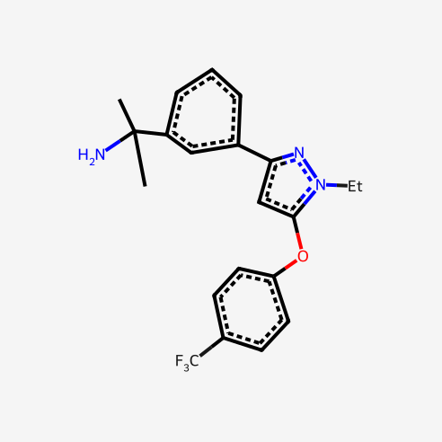 CCn1nc(-c2cccc(C(C)(C)N)c2)cc1Oc1ccc(C(F)(F)F)cc1